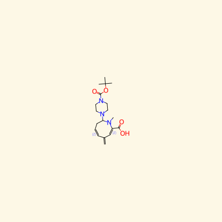 C=C1/C=C\CC(N2CCN(C(=O)OC(C)(C)C)CC2)N(C)/C(C(=O)O)=C\1